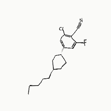 CCCCC[C@H]1CC[C@H](c2cc(F)c(C#N)c(Cl)c2)CC1